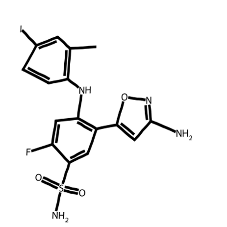 Cc1cc(I)ccc1Nc1cc(F)c(S(N)(=O)=O)cc1-c1cc(N)no1